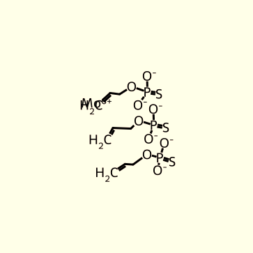 C=CCOP([O-])([O-])=S.C=CCOP([O-])([O-])=S.C=CCOP([O-])([O-])=S.[Mo+6]